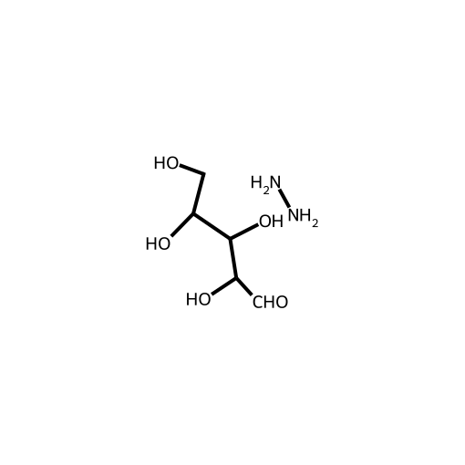 NN.O=CC(O)C(O)C(O)CO